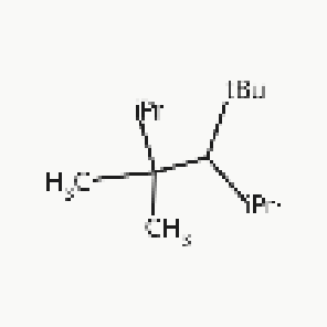 C[C](C)C(C(C)(C)C)C(C)(C)C(C)C